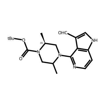 CC1CN(C(=O)OC(C)(C)C)[C@@H](C)CN1c1nccc2[nH]cc(C=O)c12